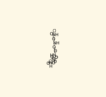 O=C1CCC(N2C(=O)c3cccc(NCCOCCOCCNCCOCCNC(=O)C4CCCCC4)c3C2=O)C(=O)N1